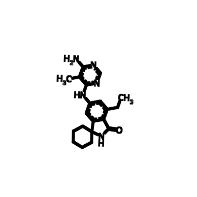 CCc1cc(Nc2ncnc(N)c2C)cc2c1C(=O)NC21CCCCC1